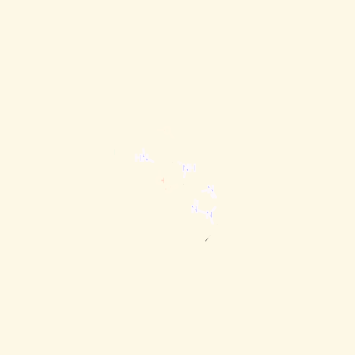 Cc1cc(F)c2c(c1)OC[C@H](NC(=O)c1nc3n(n1)[C@H](C(C)C)CCC3)C(O)N2